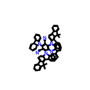 CC1(C)c2ccccc2-c2ccc3c(c21)c1ccccc1n3-c1c(C#N)c(N2c3ccccc3C3C=CC=CC32)c(C#N)c(-n2c3ccccc3c3c4c(ccc32)-c2ccccc2C4(C)C)c1-n1c2ccccc2c2ccccc21